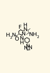 CC(N)C(C)Nc1nc(Nc2cccc(-n3nccn3)c2)c(C(N)=O)cc1F